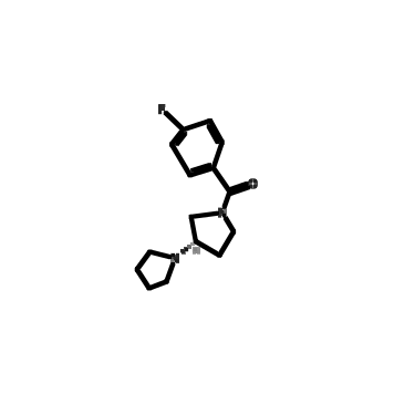 O=C(c1ccc(F)cc1)N1CC[C@H](N2CCCC2)C1